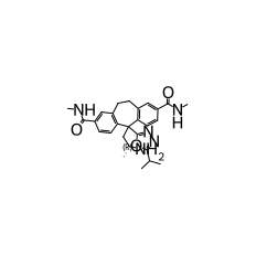 CNC(=O)c1ccc2c(c1)CCc1cc(C(=O)NC)ccc1C2(C[C@@H](C)N)c1nnc(C(C)C)o1